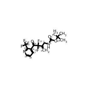 C=C(CNC(=O)OC(C)(C)C)C(F)(F)C(=O)c1cccnc1C(F)(F)F